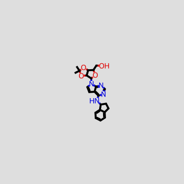 CC1(C)OC2C(CO)OC(n3ccc4c(NC5CCc6ccccc65)ncnc43)C2O1